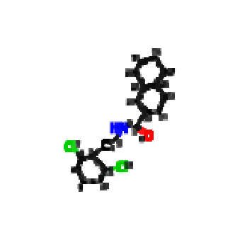 O=C(NCCc1c(Cl)cccc1Cl)c1ccc2ccccc2c1